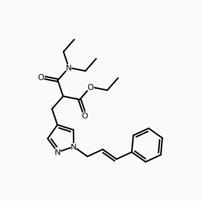 CCOC(=O)C(Cc1cnn(CC=Cc2ccccc2)c1)C(=O)N(CC)CC